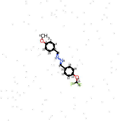 COc1ccc(C=NN=Cc2ccc(OC(F)F)cc2)cc1